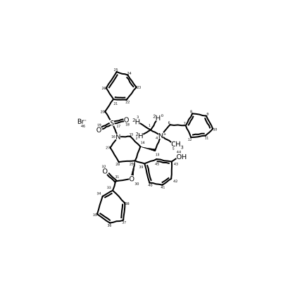 [2H]C([2H])([2H])[N+](C)(Cc1ccccc1)C[C@@H]1CN(S(=O)(=O)Cc2ccccc2)CC[C@@]1(OC(=O)c1ccccc1)c1cccc(O)c1.[Br-]